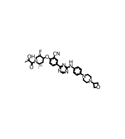 C[C@@H](O)C(=O)N1C[C@@H](F)C(Oc2ccc(-c3ncnc(Nc4ccc(N5CCN(C6COC6)CC5)cc4)n3)cc2C#N)C[C@@H]1C